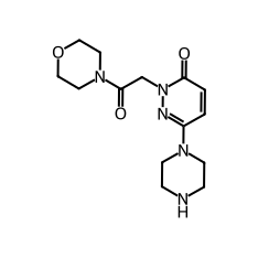 O=C(Cn1nc(N2CCNCC2)ccc1=O)N1CCOCC1